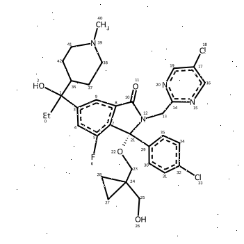 CCC(O)(c1cc(F)c2c(c1)C(=O)N(Cc1ncc(Cl)cn1)[C@@]2(OCC1(CO)CC1)c1ccc(Cl)cc1)C1CCN(C)CC1